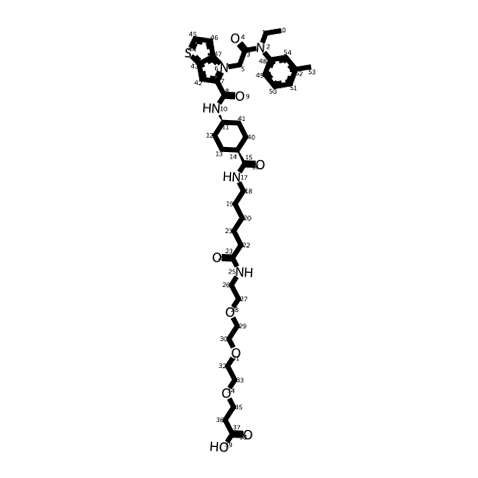 CCN(C(=O)Cn1c(C(=O)N[C@H]2CC[C@H](C(=O)NCCCCCC(=O)NCCOCCOCCOCCC(=O)O)CC2)cc2sccc21)c1cccc(C)c1